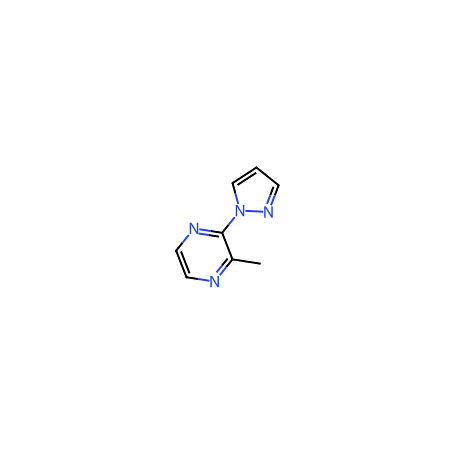 Cc1nccnc1-n1cccn1